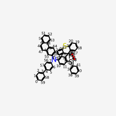 c1ccc(-c2ccc(N(c3ccc4c(c3)C3(c5ccccc5Sc5ccccc53)c3ccccc3[SiH]4c3ccccc3)c3ccc4c(ccc5ccccc54)c3)cc2)cc1